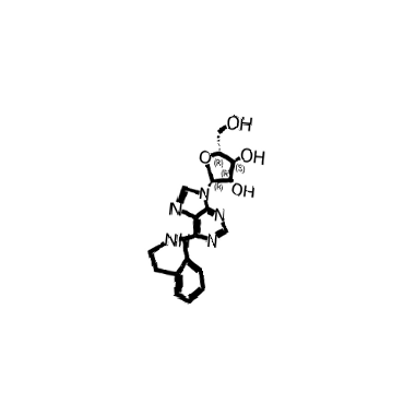 OC[C@H]1O[C@@H](n2cnc3c(C4NCCc5ccccc54)ncnc32)[C@H](O)[C@@H]1O